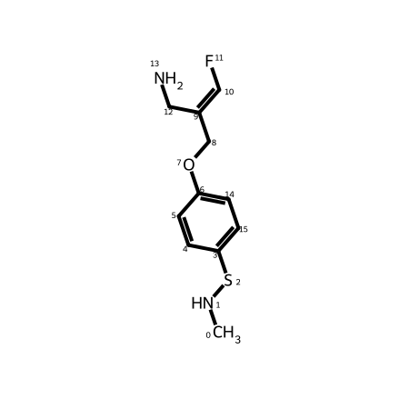 CNSc1ccc(OC/C(=C/F)CN)cc1